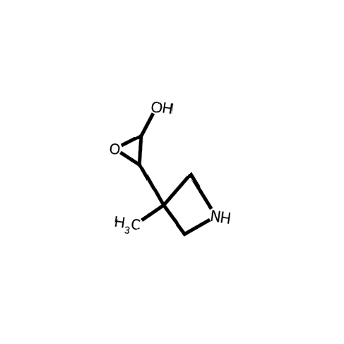 CC1(C2OC2O)CNC1